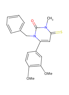 COc1ccc(-c2cc(=S)n(C)c(=O)n2Cc2ccccc2)cc1OC